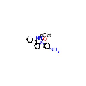 CCCCCCCCN1N=C(C2CCCCC2)c2ccccc2N(c2ccc(N)cc2)C1=O